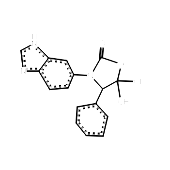 CC1(C)OC(=O)N(c2ccc3nc[nH]c3c2)C1c1ccccc1